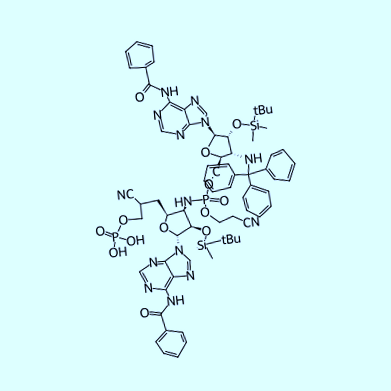 CC(C)(C)[Si](C)(C)O[C@@H]1[C@H](NP(=O)(OCCC#N)OC[C@H]2O[C@@H](n3cnc4c(NC(=O)c5ccccc5)ncnc43)[C@H](O[Si](C)(C)C(C)(C)C)[C@@H]2NC(c2ccccc2)(c2ccccc2)c2ccccc2)[C@H](CC(C#N)COP(=O)(O)O)O[C@H]1n1cnc2c(NC(=O)c3ccccc3)ncnc21